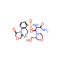 CCc1c(N2CCOCC2=O)cccc1S(=O)(=O)N[C@@H](C(N)=O)C(=O)N1CCOC[C@H]1CO